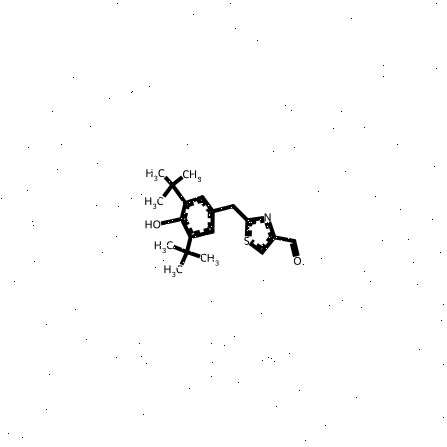 CC(C)(C)c1cc(Cc2nc(C=O)cs2)cc(C(C)(C)C)c1O